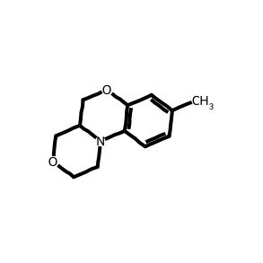 Cc1ccc2c(c1)OCC1COCCN21